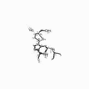 CC(C)Nc1nc2c(ncn2[C@H]2C[C@H](O)[C@@H](CO)O2)c(=O)[nH]1